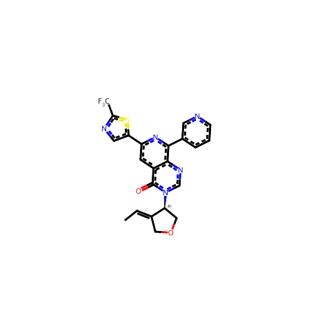 C/C=C1\COC[C@@H]1n1cnc2c(-c3cccnc3)nc(-c3cnc(C(F)(F)F)s3)cc2c1=O